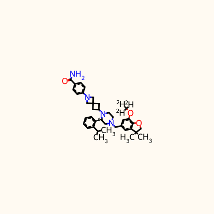 [2H]C([2H])([2H])Oc1cc(CN2CCN(C3CC4(C3)CN(c3ccc(C(N)=O)cc3)C4)[C@H](c3ccccc3C(C)C)C2)cc2c1OCC2(C)C